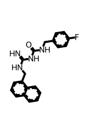 N=C(NCc1cccc2ccccc12)NC(=O)NCc1ccc(F)cc1